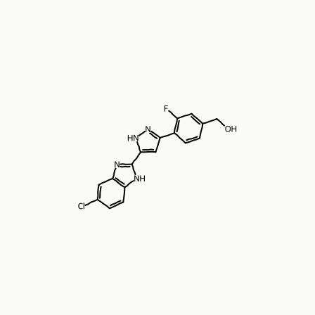 OCc1ccc(-c2cc(-c3nc4cc(Cl)ccc4[nH]3)[nH]n2)c(F)c1